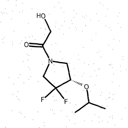 CC(C)O[C@H]1CN(C(=O)CO)CC1(F)F